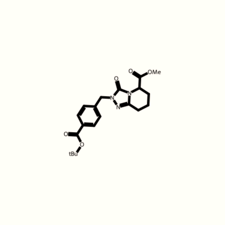 COC(=O)C1CCCc2nn(Cc3ccc(C(=O)OC(C)(C)C)cc3)c(=O)n21